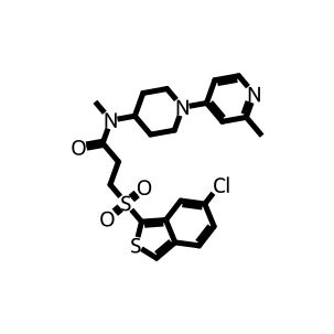 Cc1cc(N2CCC(N(C)C(=O)CCS(=O)(=O)c3scc4ccc(Cl)cc34)CC2)ccn1